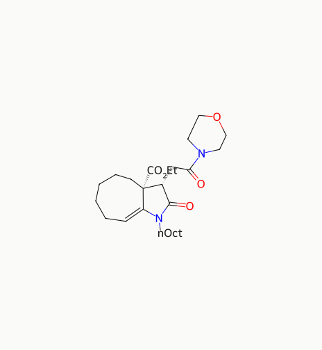 CCCCCCCCN1C(=O)[C@@H](CC(=O)N2CCOCC2)[C@]2(C(=O)OCC)CCCCC/C=C/12